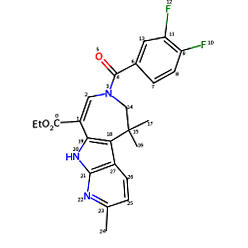 CCOC(=O)C1=CN(C(=O)c2ccc(F)c(F)c2)CC(C)(C)c2c1[nH]c1nc(C)ccc21